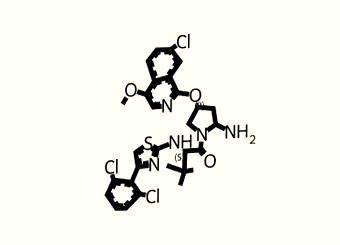 COc1cnc(O[C@@H]2CC(N)N(C(=O)[C@@H](Nc3nc(-c4c(Cl)cccc4Cl)cs3)C(C)(C)C)C2)c2cc(Cl)ccc12